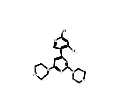 Nc1cc(C(F)(F)F)c(-c2cc(N3CCNCC3)nc(N3CCOCC3)n2)cn1